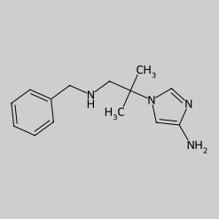 CC(C)(CNCc1ccccc1)n1cnc(N)c1